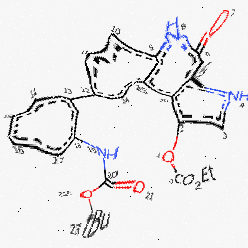 CCOC(=O)Oc1c[nH]c2c(=O)[nH]c3ccc(-c4ccccc4NC(=O)OC(C)(C)C)cc3c12